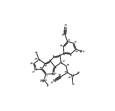 CNc1nc2c(cc(-c3cc(F)cc(C#N)c3)n2CC(C#N)N(C)C)c2c1ncn2C